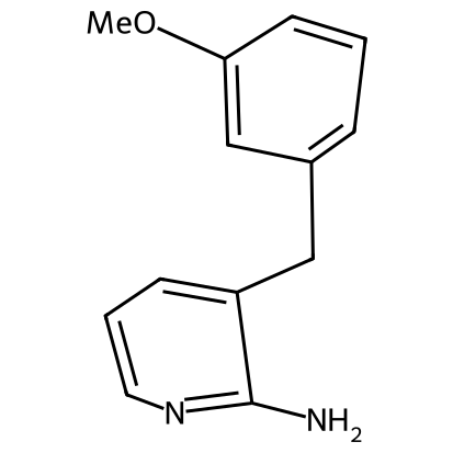 COc1cccc(Cc2cccnc2N)c1